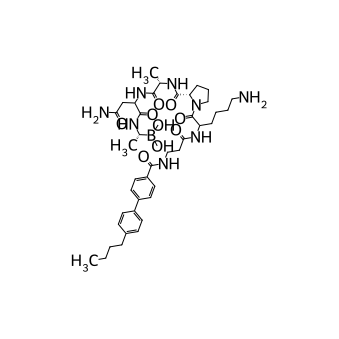 CCCCc1ccc(-c2ccc(C(=O)NCCC(=O)NC(CCCCN)C(=O)N3CCC[C@H]3C(=O)N[C@@H](C)C(=O)NC(CC(N)=O)C(=O)N[C@@H](C)B(O)O)cc2)cc1